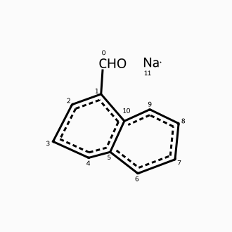 O=Cc1cccc2ccccc12.[Na]